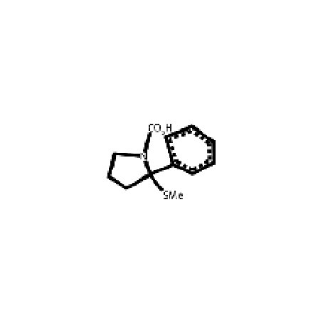 CSC1(c2ccccc2)CCCN1C(=O)O